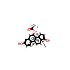 CC(=O)OC1CC2C=C(O)C=C[C@]2(C)[C@@H]2CC[C@]3(C)C(O)=CC[C@H]3[C@H]12